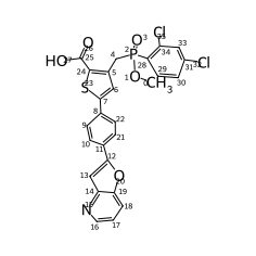 COP(=O)(Cc1cc(-c2ccc(-c3cc4ncccc4o3)cc2)sc1C(=O)O)c1ccc(Cl)cc1Cl